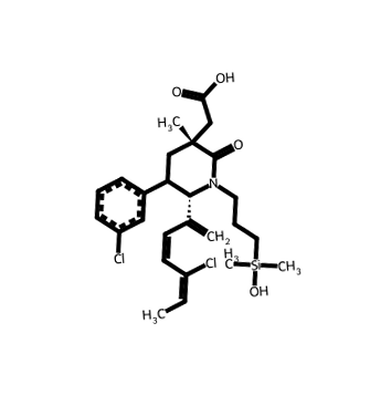 C=C(/C=C\C(Cl)=C/C)[C@@H]1C(c2cccc(Cl)c2)C[C@](C)(CC(=O)O)C(=O)N1CCC[Si](C)(C)O